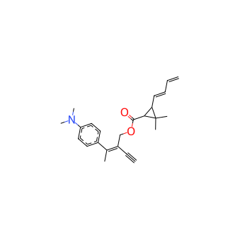 C#CC(COC(=O)C1C(C=CC=C)C1(C)C)=C(C)c1ccc(N(C)C)cc1